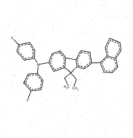 CCC1(CC)c2cc(-c3nccc4ccccc34)ccc2-c2ccc(N(c3ccc(F)cc3)c3ccc(F)cc3)cc21